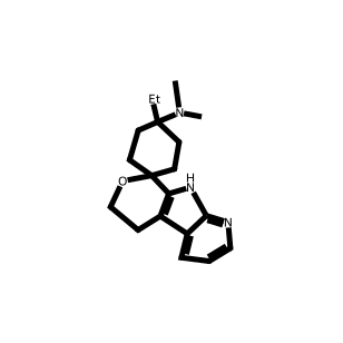 CCC1(N(C)C)CCC2(CC1)OCCc1c2[nH]c2ncccc12